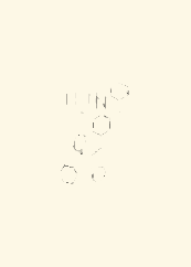 CC1(C)c2ccccc2N(N)c2ccc(C=C3C(=O)c4ccccc4C3=O)cc21